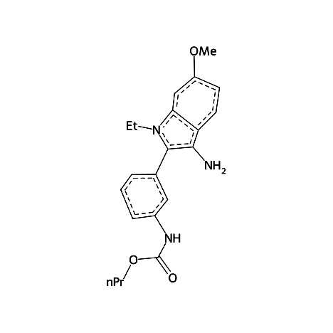 CCCOC(=O)Nc1cccc(-c2c(N)c3ccc(OC)cc3n2CC)c1